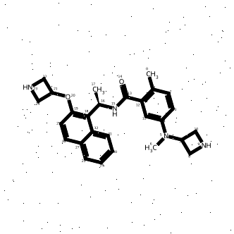 Cc1ccc(N(C)C2CNC2)cc1C(=O)N[C@H](C)c1c(OC2CNC2)ccc2ccccc12